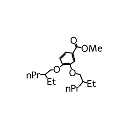 CCCC(CC)COc1ccc(C(=O)OC)cc1OCC(CC)CCC